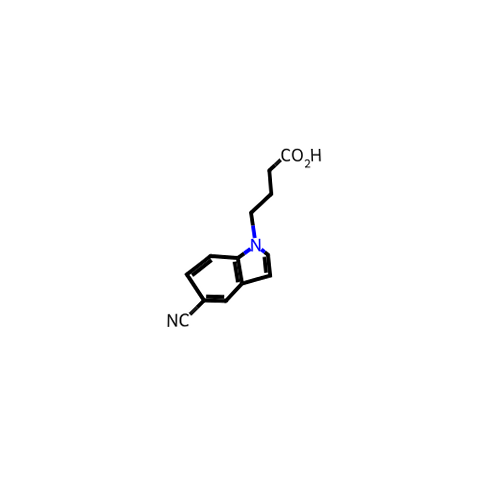 N#Cc1ccc2c(ccn2CCCC(=O)O)c1